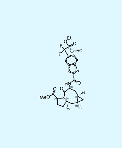 CCOP(=O)(OCC)C(F)(F)c1ccc2sc(C(=O)N[C@H]3C[C@H]4C[C@H]4C[C@H]4CC[C@@H](C(=O)OC)N4C3=O)cc2c1